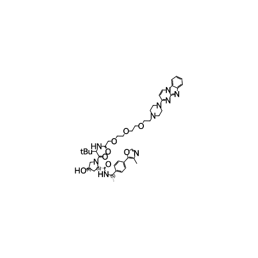 Cc1ncoc1-c1ccc([C@H](C)NC(=O)[C@@H]2C[C@@H](O)CN2C(=O)C(NC(=O)COCCOCCOCCN2CCN(c3ccn4c(n3)nc3ccccc34)CC2)C(C)(C)C)cc1